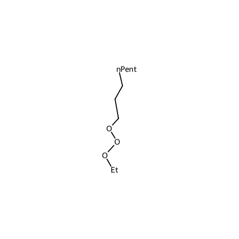 CCCCCCCCOOOCC